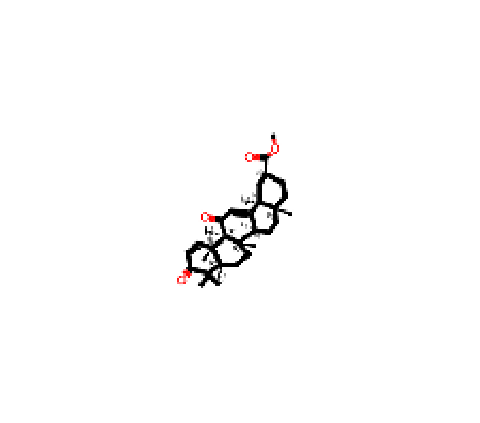 COC(=O)[C@H]1CC[C@]2(C)CC[C@]3(C)C(=CC(=O)[C@@H]4[C@@]5(C)C=CC(=O)C(C)(C)[C@@H]5CC[C@]43C)[C@H]2C1